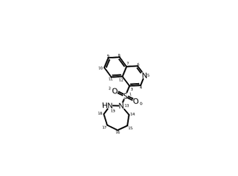 O=S(=O)(c1cncc2ccccc12)N1CCCCCN1